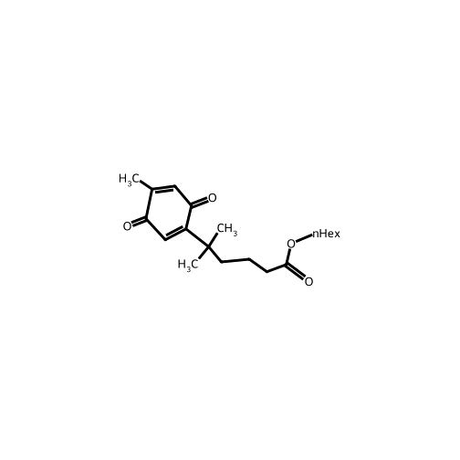 CCCCCCOC(=O)CCCC(C)(C)C1=CC(=O)C(C)=CC1=O